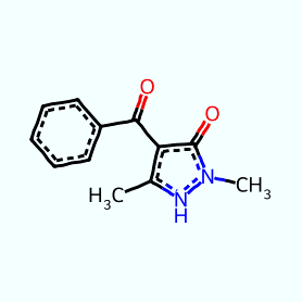 Cc1[nH]n(C)c(=O)c1C(=O)c1ccccc1